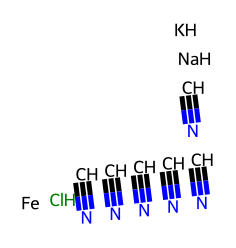 C#N.C#N.C#N.C#N.C#N.C#N.Cl.[Fe].[KH].[NaH]